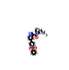 CCN(CC)C(=O)c1cnn2ccc(C3CCN(S(=O)(=O)c4ccccc4)CC3)cc12